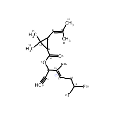 C#CC(OC(=O)C1C(C=C(C)C)C1(C)C)/C(F)=C/CC(F)F